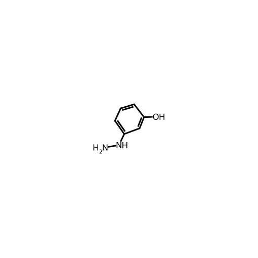 NNc1cccc(O)c1